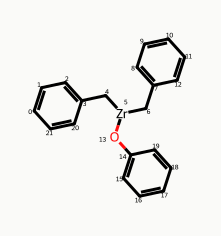 c1ccc([CH2][Zr]([CH2]c2ccccc2)[O]c2ccccc2)cc1